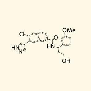 COc1cccc(C(CCO)NC(=O)c2ccc3cc(Cl)c(-c4cn[nH]c4)cc3c2)c1